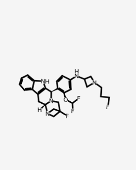 FCCCN1CC(Nc2ccc([C@@H]3c4[nH]c5ccccc5c4C[C@H]4N5CC(F)(C5)CN34)c(OC(F)F)c2)C1